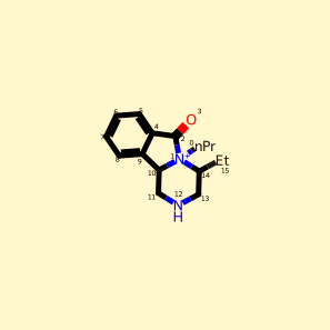 CCC[N+]12C(=O)c3ccccc3C1CNCC2CC